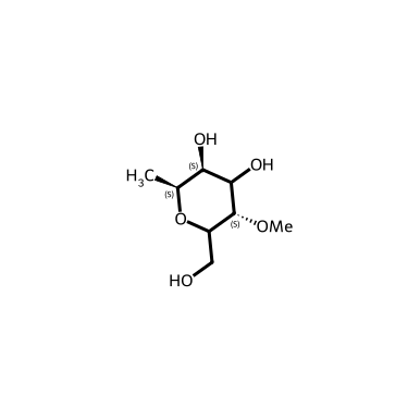 CO[C@@H]1C(CO)O[C@@H](C)[C@@H](O)C1O